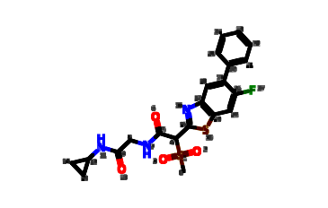 CS(=O)(=O)C(C(=O)NCC(=O)NC1CC1)c1nc2cc(-c3ccccc3)c(F)cc2s1